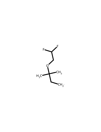 [CH2]CC(C)(C)OCC(F)F